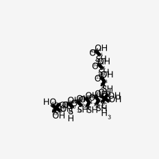 CCC(CO)(CO)CO.O=C(O)CCS.O=C(O)CCS.O=C(O)CCS.O=C(O)CS.O=C(O)CS.O=C(O)CS.O=C(O)CS.OCC(CO)(CO)CO